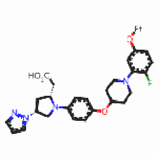 CCOc1ccc(F)c(N2CCC(Oc3ccc(N4C[C@H](n5cccn5)C[C@@H]4CC(=O)O)cc3)CC2)c1